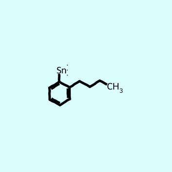 CCCCc1cccc[c]1[Sn]